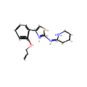 C=CCOc1ccccc1-c1csc(/N=C2/CCCCN2)n1